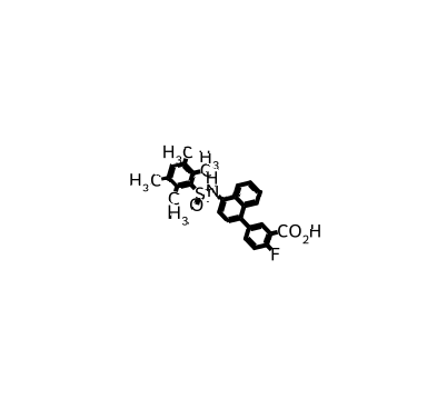 Cc1cc(C)c(C)c([S+]([O-])Nc2ccc(-c3ccc(F)c(C(=O)O)c3)c3ccccc23)c1C